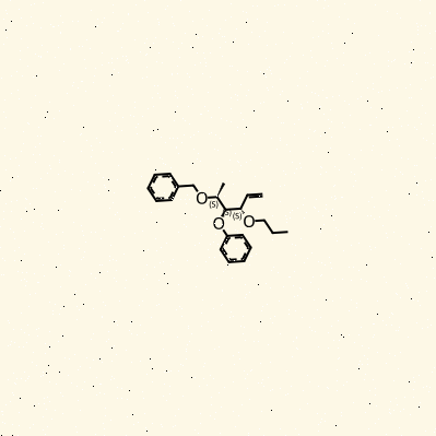 C=C[C@H](OCCC)[C@@H](Oc1ccccc1)[C@H](C)OCc1ccccc1